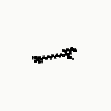 CCOc1cc(C)c(OCCCCCCCCCCCP(=O)(O)O)c(F)c1